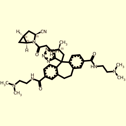 C[C@@H](CC1(c2nnn[nH]2)c2ccc(C(=O)NCCN(C)C)cc2CCc2cc(C(=O)NCCN(C)C)ccc21)NCC(=O)N1[C@H](C#N)C[C@@H]2C[C@@H]21